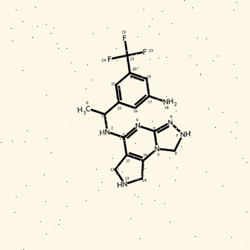 CC(NC1=NC2=NNCN2C2=C1CNC2)c1cc(N)cc(C(F)(F)F)c1